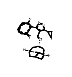 Fc1cccc(F)c1-c1noc(C2CC2)c1CO[C@H]1C[C@H]2CC3C[C@@H](C1)C3C2